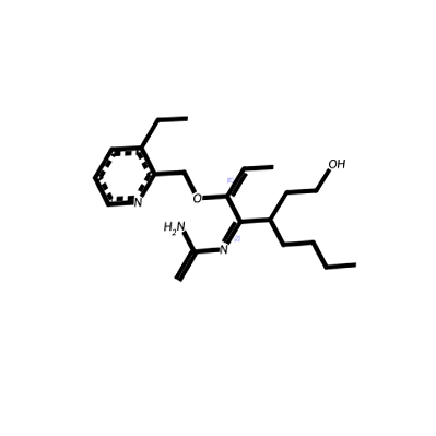 C=C(N)/N=C(\C(=C/C)OCc1ncccc1CC)C(CCO)CCCC